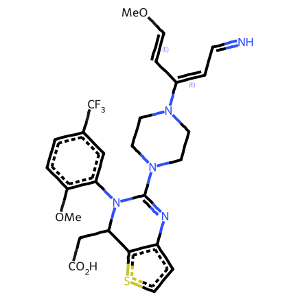 CO/C=C/C(=C\C=N)N1CCN(C2=Nc3ccsc3C(CC(=O)O)N2c2cc(C(F)(F)F)ccc2OC)CC1